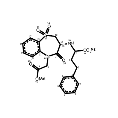 CCOC(=O)C(CCc1ccccc1)N[C@H]1CS(=O)(=O)c2ccccc2N(CC(=O)OC)C1=O